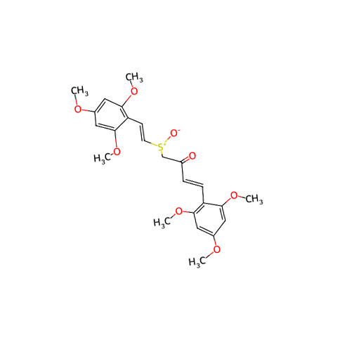 COc1cc(OC)c(C=C[S+]([O-])CC(=O)/C=C/c2c(OC)cc(OC)cc2OC)c(OC)c1